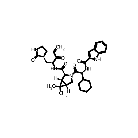 C=CC(=O)[C@H](C[C@@H]1CCNC1=O)NC(=O)[C@@H]1[C@@H]2[C@H](CN1C(=O)[C@@H](NC(=O)c1cc3ccccc3[nH]1)C1CCCCC1)C2(C)C